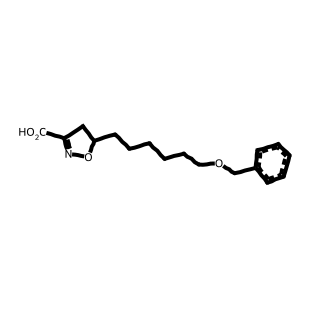 O=C(O)C1=NOC(CCCCCCOCc2ccccc2)C1